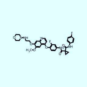 COc1cc2c(Oc3ccc(NC(=O)C4(C(=O)Nc5ccc(F)cc5)CC4)cc3F)ccnc2cc1OCCNN1CCOCC1